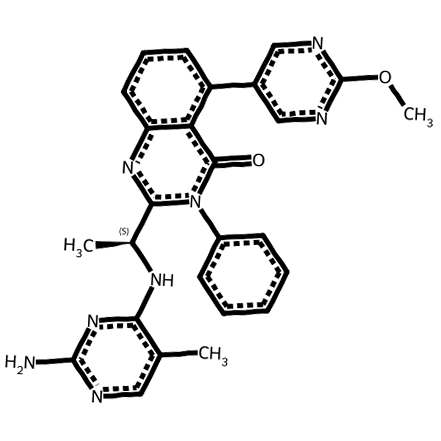 COc1ncc(-c2cccc3nc([C@H](C)Nc4nc(N)ncc4C)n(-c4ccccc4)c(=O)c23)cn1